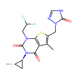 Cc1c(Cn2nc[nH]c2=O)sc2c1c(=O)n([C@H]1C[C@@H]1C)c(=O)n2CC(F)F